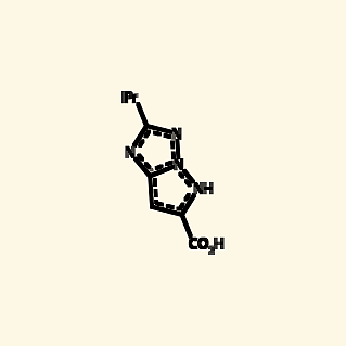 CC(C)c1nc2cc(C(=O)O)[nH]n2n1